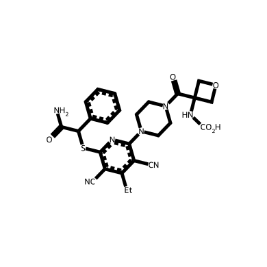 CCc1c(C#N)c(SC(C(N)=O)c2ccccc2)nc(N2CCN(C(=O)C3(NC(=O)O)COC3)CC2)c1C#N